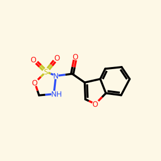 O=C(c1coc2ccccc12)N1NCOS1(=O)=O